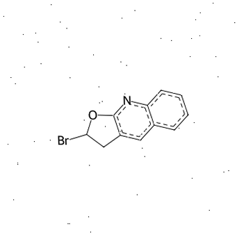 BrC1Cc2cc3ccccc3nc2O1